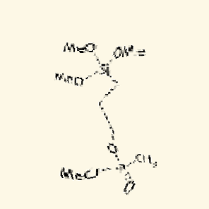 CO[Si](CCCOP(C)(=O)OC)(OC)OC